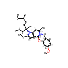 CCCC(C)(CCC(C)CC)n1c(CC)cc2c(=O)n(Cc3ccc(OC)cc3)c(C)cc21